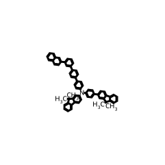 CC1(C)c2ccccc2-c2ccc(-c3ccc(N(c4ccc(-c5ccc(-c6cccc(-c7ccc8ccccc8c7)c6)cc5)cc4)c4ccc5c(c4)C(C)(C)c4ccccc4-5)cc3)cc21